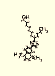 CCCCC(CCCCCCCO)c1nc(-c2ccc3c(c2)C(C)CCC3C)cs1